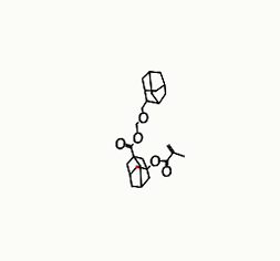 C=C(C)C(=O)OC12CC3CC(C1)CC(C(=O)OCOCC1C4CC5CC(C4)CC1C5)(C3)C2